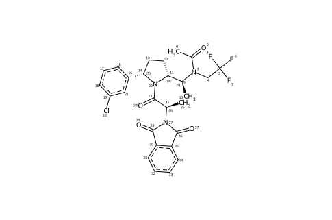 CC(=O)N(CC(F)(F)F)[C@@H](C)[C@H]1CC[C@@H](c2cccc(Cl)c2)N1C(=O)[C@@H](C)N1C(=O)c2ccccc2C1=O